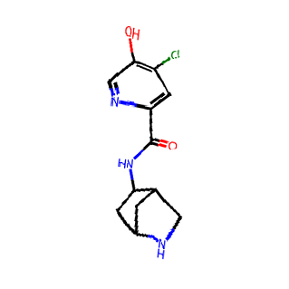 O=C(NC1CC2CC1CN2)c1cc(Cl)c(O)cn1